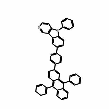 C1=CC(c2c3ccccc3c(-c3ccccc3)c3cc(-c4ccc(-c5ccc6c(c5)c5cnccc5n6-c5ccccc5)nc4)ccc23)=CCC1